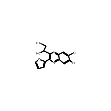 NCC(O)c1nc2cc(Cl)c(Cl)cc2nc1-c1ccco1